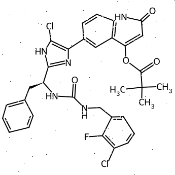 CC(C)(C)C(=O)Oc1cc(=O)[nH]c2ccc(-c3nc([C@H](Cc4ccccc4)NC(=O)NCc4cccc(Cl)c4F)[nH]c3Cl)cc12